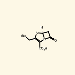 CC(C)(C)CC1=C(C(=O)O)N2C(=O)C[C@@H]2S1